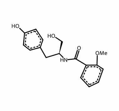 COc1ccccc1C(=O)N[C@H](CO)Cc1ccc(O)cc1